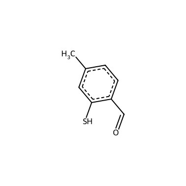 Cc1ccc(C=O)c(S)c1